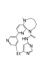 C=C(Nc1cc(CC)ncn1)N1CCCCN(C)c2ccc(-c3cncc(C)c3)nc21